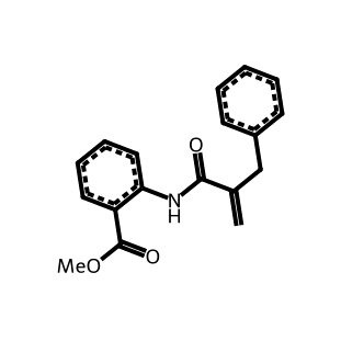 C=C(Cc1ccccc1)C(=O)Nc1ccccc1C(=O)OC